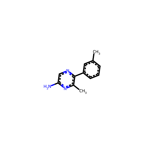 Cc1cccc(-c2ncc(N)nc2C)c1